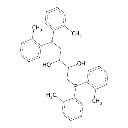 Cc1ccccc1P(CC(O)C(O)CP(c1ccccc1C)c1ccccc1C)c1ccccc1C